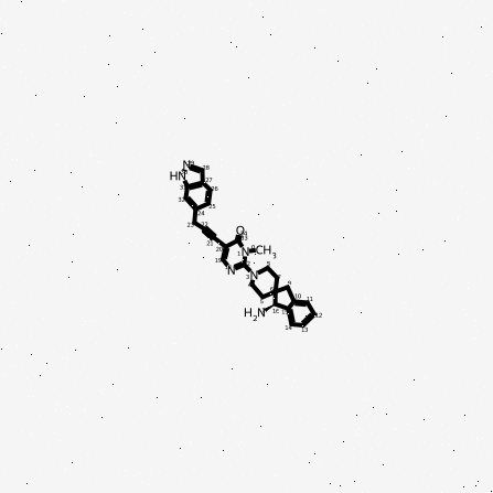 Cn1c(N2CCC3(CC2)Cc2ccccc2[C@H]3N)ncc(C#CCc2ccc3cn[nH]c3c2)c1=O